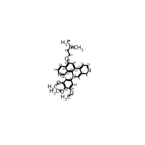 COc1cc(N2C=C3CN=CC=C3c3cc(OCCN(C)C)c4ccncc4c32)cc(OC)c1OC